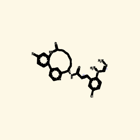 N/N=C\N(N)c1ccc(Cl)cc1/C=C/C(=O)N[C@H]1CCCCC(=O)Nc2cc(F)ccc2-c2ccnc1c2